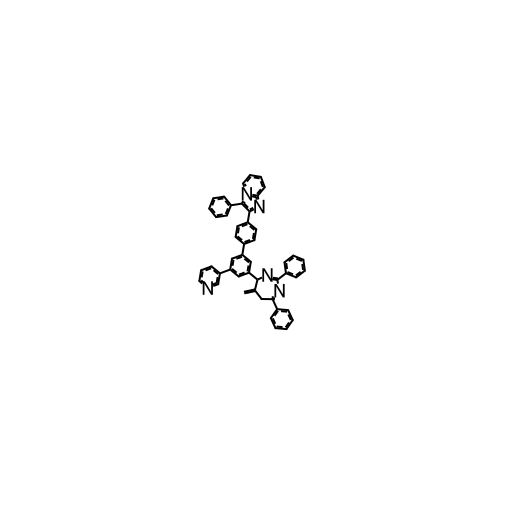 C=C1CC(c2ccccc2)=NC(c2ccccc2)=NC1c1cc(-c2ccc(-c3nc4ccccn4c3-c3ccccc3)cc2)cc(-c2cccnc2)c1